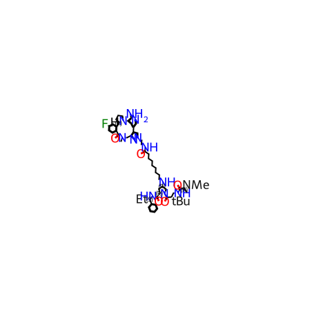 CC[C@H](NC(=O)[C@H]1C[C@@H](NCCCCCCCCC(=O)NCCn2cc3c(n2)CN(C)C(=O)c2ccc(F)cc2[C@H]2CCCN2c2cc-3cnc2N)CN1C(=O)C(CNC(=O)[C@@H](C)NC)C(C)(C)C)c1ccccc1